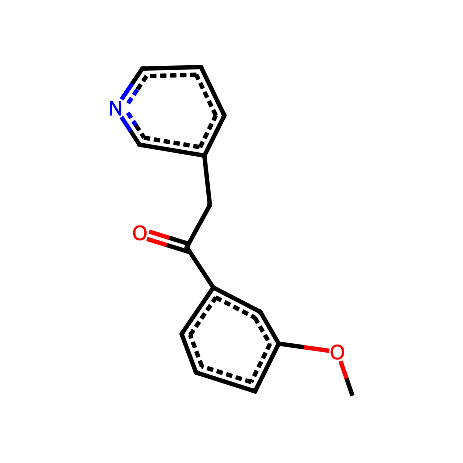 COc1cccc(C(=O)Cc2cccnc2)c1